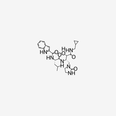 CC(C)C[C@H](NC(=O)c1cc2ccccc2[nH]1)C(=O)N[C@@H](CN1CCNC1=O)C(O)C(=O)NCC1CC1